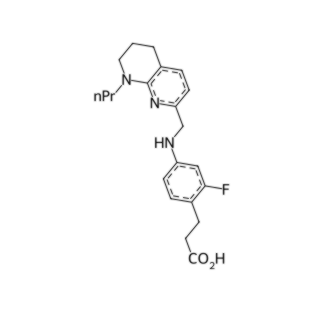 CCCN1CCCc2ccc(CNc3ccc(CCC(=O)O)c(F)c3)nc21